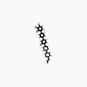 C/C=C/C1CCC(C2CC=C(c3ccc(-c4ccc(-c5ccc(C)c(F)c5F)cc4)cc3F)CC2)CC1